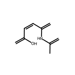 C=C(O)/C=C\C(=C)NC(=C)C